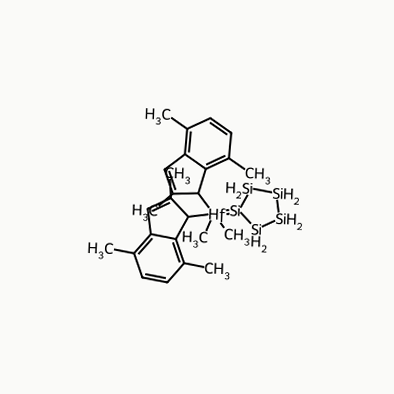 CC1=Cc2c(C)ccc(C)c2[CH]1[Hf]([CH3])([CH3])([CH]1C(C)=Cc2c(C)ccc(C)c21)=[Si]1[SiH2][SiH2][SiH2][SiH2]1